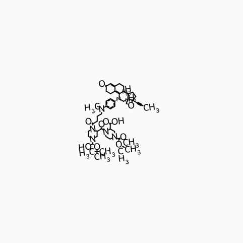 CC#C[C@]12CC[C@H]3[C@@H]4CCC5=CC(=O)CCC5=C4[C@@H](c4ccc(N(C)CCCC(=O)N5CCN(C(O)OC(C)(C)C)CC5C(=O)N5CCN(C(=O)OC(C)(C)C)CC5C(=O)O)cc4)C[C@@]31CO2